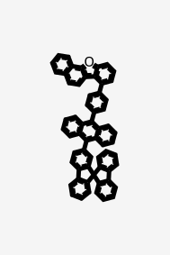 c1ccc2c(c1)-c1ccccc1C21c2ccccc2-c2ccc(-c3c4ccccc4c(-c4ccc(-c5cccc6oc7c8ccccc8ccc7c56)cc4)c4ccccc34)cc21